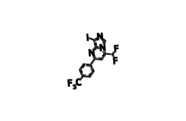 FC(F)c1cc(-c2ccc(C(F)(F)F)cc2)nc2c(I)ncn12